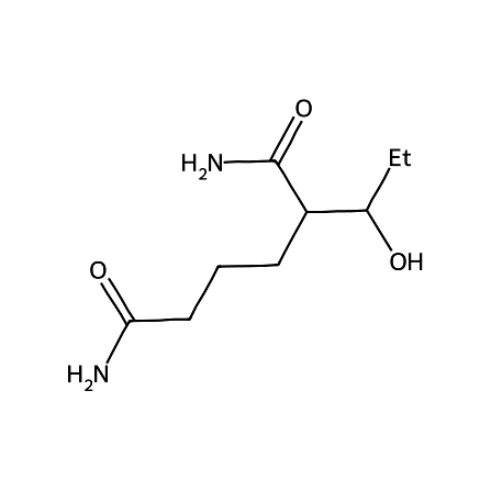 CCC(O)C(CCCC(N)=O)C(N)=O